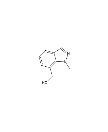 Cn1ncc2c[c]cc(CO)c21